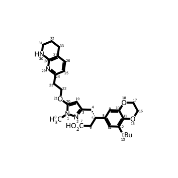 Cn1nc(C[C@@H](CC(=O)O)c2cc3c(c(C(C)(C)C)c2)OCCO3)cc1OCCc1ccc2c(n1)NCCC2